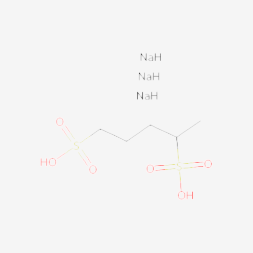 CC(CCCS(=O)(=O)O)S(=O)(=O)O.[NaH].[NaH].[NaH]